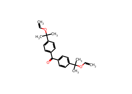 C=COC(C)(C)c1ccc(C(=O)c2ccc(C(C)(C)OC=C)cc2)cc1